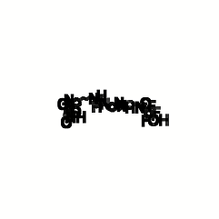 Cn1c(=O)n([C@@H]2CCC(=O)NC2=O)c2ccc(CCCN3C[C@@H]4CN(c5ccc6cn(C7CCC(CNC(=O)c8cc(F)c(O)c(F)c8F)CC7)nc6c5)C[C@@H]4C3)cc21